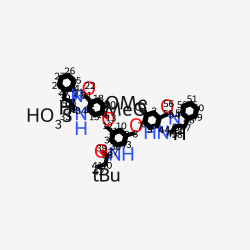 COc1cc2c(cc1OCc1cc(COc3cc4c(cc3OC)C(=O)N3c5ccccc5C[C@H]3C(S(=O)(=O)O)N4)cc(NC(=O)CCC(C)(C)C)c1)NC[C@@H]1Cc3ccccc3N1C2=O